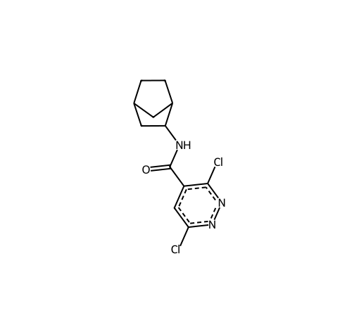 O=C(NC1CC2CCC1C2)c1cc(Cl)nnc1Cl